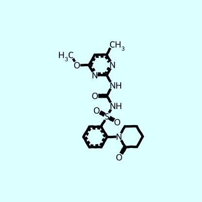 COc1cc(C)nc(NC(=O)NS(=O)(=O)c2ccccc2N2CCCCC2=O)n1